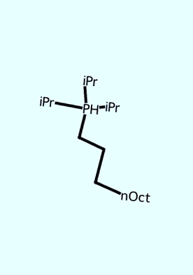 CCCCCCCCCCC[PH](C(C)C)(C(C)C)C(C)C